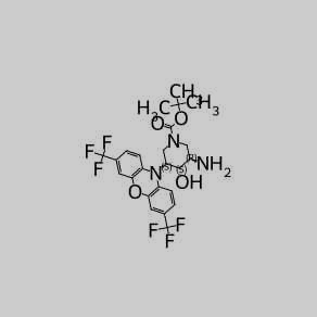 CC(C)(C)OC(=O)N1C[C@@H](N)[C@H](O)[C@@H](N2c3ccc(C(F)(F)F)cc3Oc3cc(C(F)(F)F)ccc32)C1